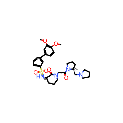 COc1ccc(-c2cccc(S(=O)(=O)N[C@H]3CCCN(CC(=O)N4CCC[C@H]4CN4CCCC4)C3=O)c2)cc1OC